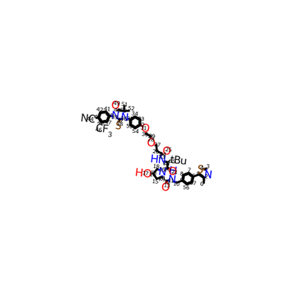 Cc1ncsc1-c1ccc(CNC(=O)[C@@H]2C[C@@H](O)CN2C(=O)[C@@H](NC(=O)CCOCCOc2ccc(N3C(=S)N(c4ccc(C#N)c(C(F)(F)F)c4)C(=O)C3(C)C)cc2)C(C)(C)C)cc1